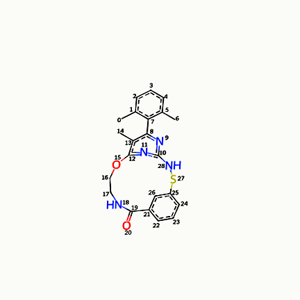 Cc1cccc(C)c1-c1nc2nc(c1C)OCCNC(=O)c1cccc(c1)SN2